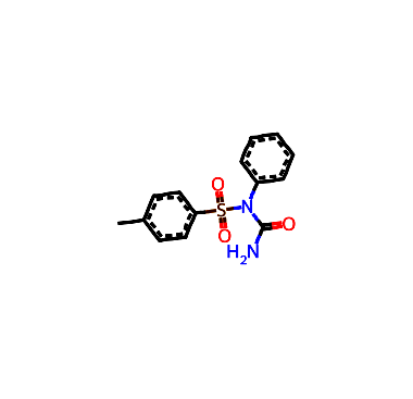 Cc1ccc(S(=O)(=O)N(C(N)=O)c2ccccc2)cc1